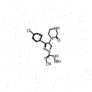 CCCCN/C(=N\C#N)N1CC(N2CCNCC2=O)C(c2ccc(Cl)cc2)=N1